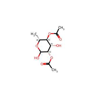 CC(=O)O[C@H]1[C@H](O)[C@H](OC(C)=O)C(O)O[C@@H]1C